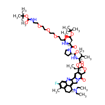 CCN(CC)[C@H]1CCc2c(C)c(F)cc3nc4c(c1c23)Cn1c-4cc2c(c1=O)COC(=O)[C@@]2(CC)OC(=O)[C@@H](NC(=O)[C@@H]1CCCN1C(=O)[C@H](CC(=O)OC(C)(C)C)NC(=O)CCOCCOCCOCCNC(=O)OC(C)(C)C)C(C)C